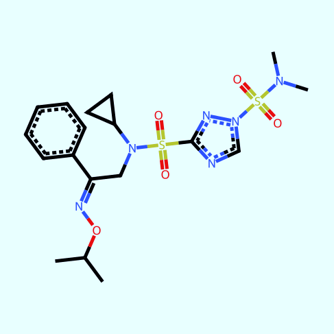 CC(C)O/N=C(\CN(C1CC1)S(=O)(=O)c1ncn(S(=O)(=O)N(C)C)n1)c1ccccc1